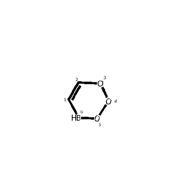 B1C=COOO1